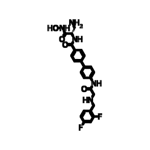 NC[C@H](NC(=O)c1ccc(-c2ccc(NC(=O)CNCc3ccc(F)cc3F)cc2)cc1)C(=O)NO